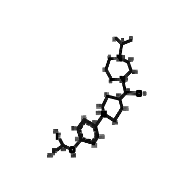 CC(C)N1CCCN(C(=O)C2CCN(c3ccc(OC(F)F)cc3)CC2)CC1